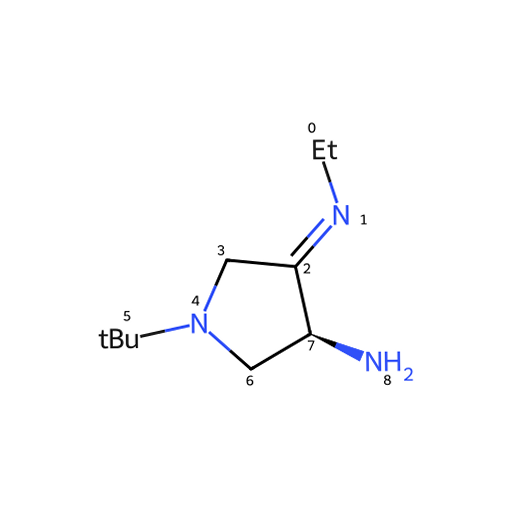 CC/N=C1\CN(C(C)(C)C)C[C@@H]1N